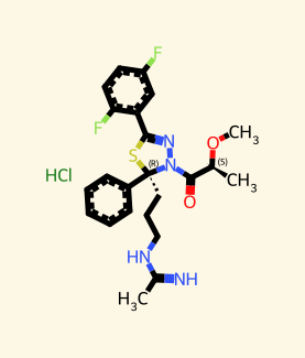 CO[C@@H](C)C(=O)N1N=C(c2cc(F)ccc2F)S[C@]1(CCCNC(C)=N)c1ccccc1.Cl